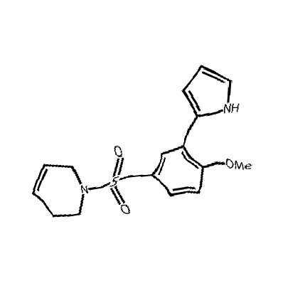 COc1ccc(S(=O)(=O)N2CC=CCC2)cc1-c1ccc[nH]1